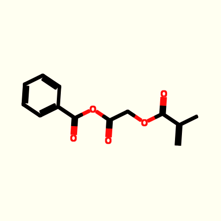 C=C(C)C(=O)OCC(=O)OC(=O)c1ccccc1